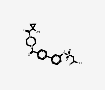 O=C(c1ccc(-c2cccc(NS(=O)(=O)CC(O)F)c2)cc1)N1CCN(C(=O)C2(O)CC2)CC1